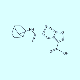 O=C(NC1CC2CCC1CC2)c1cc2c(C(=O)O)coc2cn1